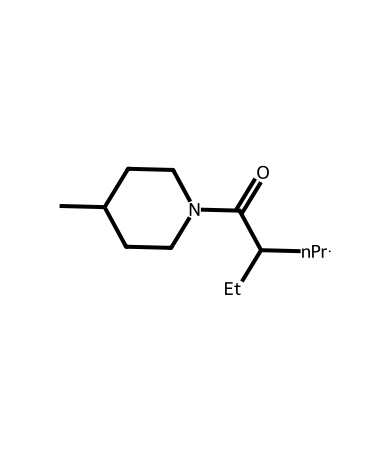 CC[CH]C(CC)C(=O)N1CCC(C)CC1